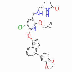 O=C1CCC(CNCc2cc(Cl)c(O[C@H]3CCc4c(-c5ccc6c(c5)OCCO6)cccc43)nc2OCC2CC2)N1